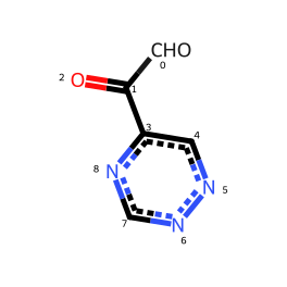 O=CC(=O)c1cnncn1